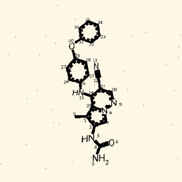 Cc1c(NC(N)=O)cn2ncc(C#N)c(Nc3ccc(Oc4ccccc4)cc3)c12